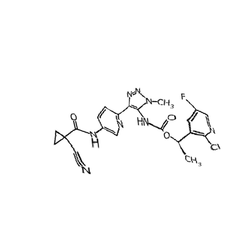 C[C@@H](OC(=O)Nc1c(-c2ccc(NC(=O)C3(C#N)CC3)cn2)nnn1C)c1cc(F)cnc1Cl